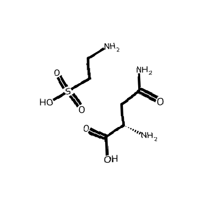 NC(=O)C[C@H](N)C(=O)O.NCCS(=O)(=O)O